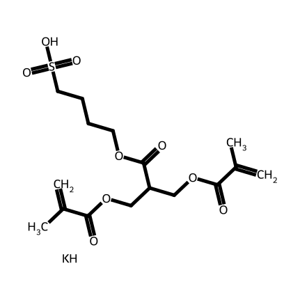 C=C(C)C(=O)OCC(COC(=O)C(=C)C)C(=O)OCCCCS(=O)(=O)O.[KH]